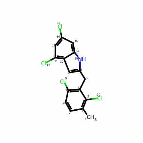 Cc1ccc(Cl)c(Cc2cc3c(Cl)cc(Cl)cc3[nH]2)c1Cl